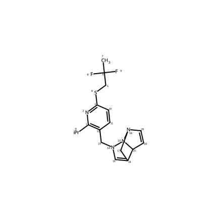 CC(C)c1nc(SCC(C)(F)F)ccc1CN1C=C2CN3C=CC2N31